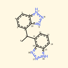 CC(c1cccc2[nH]nnc12)c1cccc2[nH]nnc12